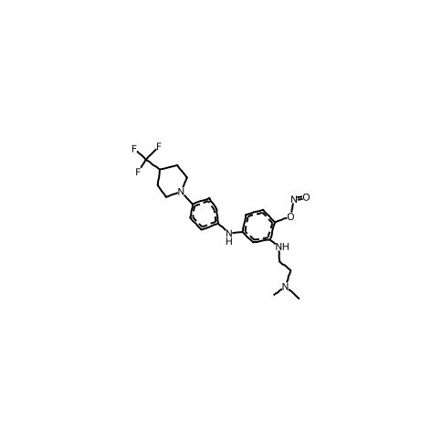 CN(C)CCNc1cc(Nc2ccc(N3CCC(C(F)(F)F)CC3)cc2)ccc1ON=O